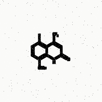 COc1ccc(C)c2c(C(F)(F)F)cc(=O)[nH]c12